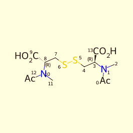 CC(=O)N(C)[C@@H](CSSC[C@@H](C(=O)O)N(C)C(C)=O)C(=O)O